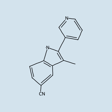 CC1=C(c2cccnc2)[N]c2ccc(C#N)cc21